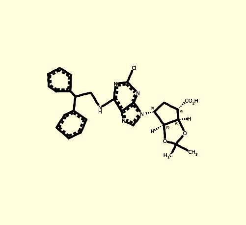 CC1(C)O[C@@H]2[C@H](O1)[C@@H](C(=O)O)C[C@H]2n1cnc2c(NCC(c3ccccc3)c3ccccc3)nc(Cl)nc21